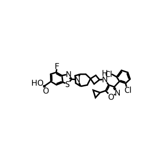 O=C(O)c1cc(F)c2nc(N3C4CCC3CC3(CC(Nc5c(-c6c(Cl)cccc6Cl)noc5C5CC5)C3)C4)sc2c1